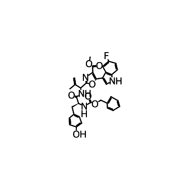 C=C(C)[C@H](NC(=O)[C@H](Cc1ccc(O)cc1)NC(=O)OCc1ccccc1)c1nc(C(=O)OC)c(-c2c[nH]c3ccc(F)cc23)o1